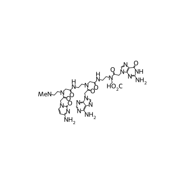 CNCCN(CC(=O)NCCN(CC(=O)NCCN(CC(=O)O)C(=O)Cn1cnc2c(=O)[nH]c(N)nc21)C(=O)Cn1cnc2c(N)ncnc21)C(=O)Cn1ccc(N)nc1=O